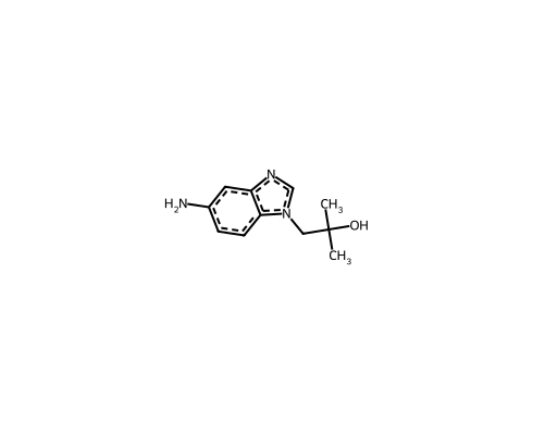 CC(C)(O)Cn1cnc2cc(N)ccc21